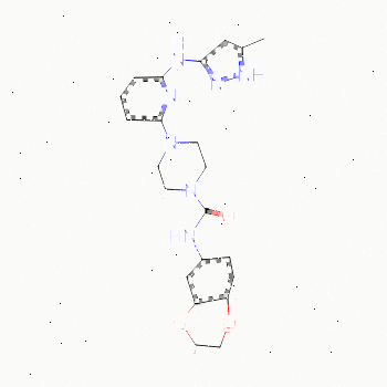 Cc1cc(Nc2cccc(N3CCN(C(=O)Nc4ccc5c(c4)OCCO5)CC3)n2)n[nH]1